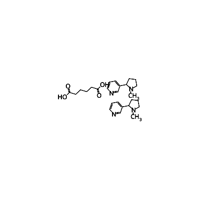 CN1CCCC1c1cccnc1.CN1CCCC1c1cccnc1.O=C(O)CCCCC(=O)O